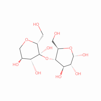 OC[C@H]1O[C@H](O)[C@H](O)[C@@H](O)[C@@H]1O[C@@]1(O)[C@H](O)[C@@H](O)CO[C@@H]1CO